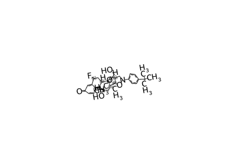 CC(C)(C)c1ccc(N2C[C@@H]3C[C@@]4(C)[C@@H]5C[C@H](F)C6=CC(=O)C=C[C@]6(C)[C@@]5(F)[C@@H](O)C[C@]4(C)[C@]3(C(=O)CO)O2)cc1